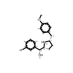 COc1ccc(C[C@@H]2CC[C@H]([C@H](O)c3cccc(F)c3)N2)cc1